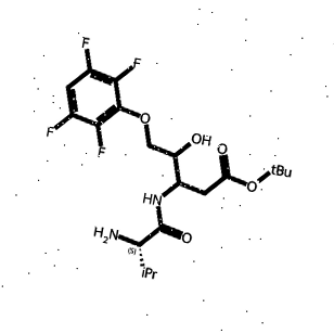 CC(C)[C@H](N)C(=O)NC(CC(=O)OC(C)(C)C)C(O)COc1c(F)c(F)cc(F)c1F